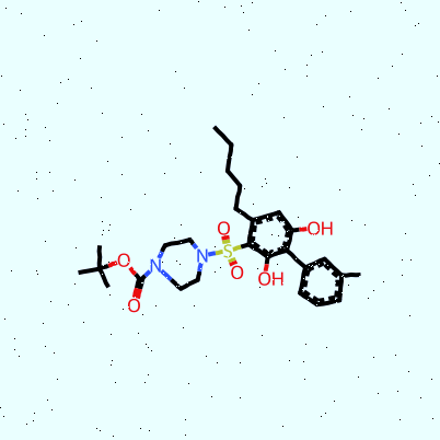 CCCCCc1cc(O)c(-c2cccc(C)c2)c(O)c1S(=O)(=O)N1CCN(C(=O)OC(C)(C)C)CC1